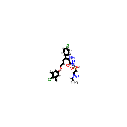 Cc1cc(OCCCc2c(C(=O)NS(=O)(=O)CCNCC(C)C)[nH]c3cc(Cl)ccc23)cc(C)c1Cl